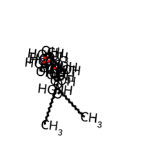 CCCCCCCCCCCCC/C=C/[C@@H](O)[C@H](CO[C@@H]1OC(CO)[C@@H](O[C@@H]2OC(CO)[C@H](O)[C@H](O[C@@H]3OC(CO)[C@@H](O[C@H]4OC(C)[C@@H](O)C(O)[C@@H]4O)[C@H](O[C@@H]4OC(CO)[C@H](O)[C@H](O)C4O)C3NC(C)=O)C2O)[C@H](O)C1O)NC(=O)CCCCCCCCCCCCCCC